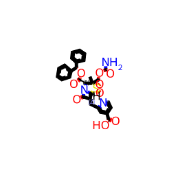 CC1(COC(N)=O)[C@H](C(=O)OC(c2ccccc2)c2ccccc2)N2C(=O)/C(=C/c3cc(C(=O)O)ccn3)[C@H]2S1(=O)=O